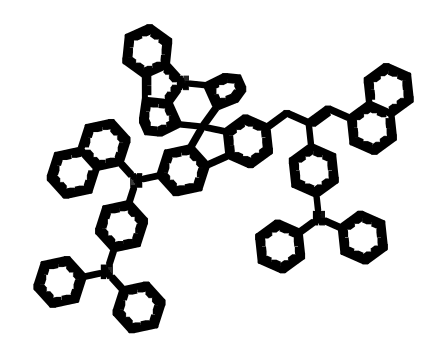 C(=C(\Cc1ccc2c(c1)C1(c3cc(N(c4ccc(N(c5ccccc5)c5ccccc5)cc4)c4cccc5ccccc45)ccc3-2)c2ccccc2-n2c3ccccc3c3cccc1c32)c1ccc(N(c2ccccc2)c2ccccc2)cc1)/c1cccc2ccccc12